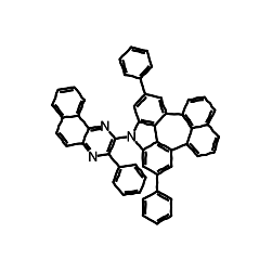 c1ccc(-c2cc3c4c5c(cc(-c6ccccc6)cc5n(-c5nc6c(ccc7ccccc76)nc5-c5ccccc5)c4c2)-c2cccc4cccc-3c24)cc1